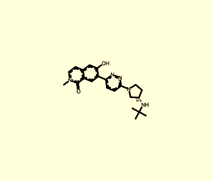 Cn1ccc2cc(O)c(-c3ccc(N4CC[C@H](NC(C)(C)C)C4)nn3)cc2c1=O